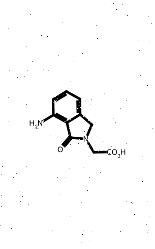 Nc1cccc2c1C(=O)N(CC(=O)O)C2